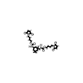 CC1(C)CC(NC(=O)OCCCCN2C(=O)C=CC2=O)CC(C)(CNC(=O)OCCCCN2C(=O)C=CC2=O)C1